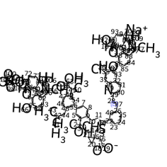 CC(C)(O)c1ccccc1CC[C@@H](SCC1(CC(=O)[O-])CC1)c1cccc(/C=C/c2ccc3ccc(Cl)cc3n2)c1.CC(C)Cc1ccc(C(C)C(=O)O)cc1.CN1CC[C@]23c4c5ccc(O)c4O[C@H]2[C@@H](O)C=C[C@H]3[C@H]1C5.CN1CC[C@]23c4c5ccc(O)c4O[C@H]2[C@@H](O)C=C[C@H]3[C@H]1C5.O=S(=O)(O)O.[Na+]